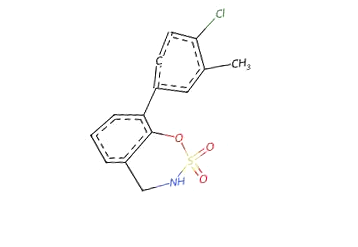 Cc1cc(-c2cccc3c2OS(=O)(=O)NC3)ccc1Cl